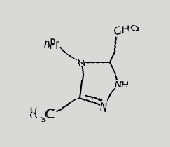 CCCN1C(C)=NNC1C=O